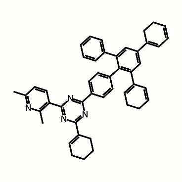 Cc1ccc(-c2nc(C3=CCCCC3)nc(-c3ccc(-c4c(C5=CCCC=C5)cc(C5=CC=CCC5)cc4-c4ccccc4)cc3)n2)c(C)n1